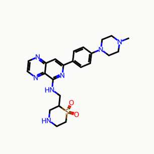 CN1CCN(c2ccc(-c3cc4nccnc4c(NCC4CNCCS4(=O)=O)n3)cc2)CC1